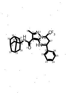 Cc1nn2c(c1C(=O)NC13CC4CC(CC(C4)C1)C3)NC(c1ccccc1)CC2C(F)(F)F